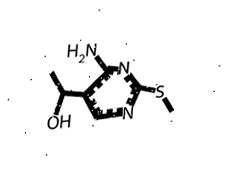 CSc1ncc(C(C)O)c(N)n1